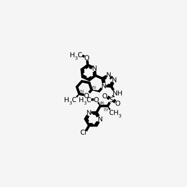 COc1cccc(-c2nnc(NS(=O)(=O)[C@@H](C)[C@H](OC)c3ncc(Cl)cn3)n2C[C@@H]2CCC[C@H](C)O2)n1